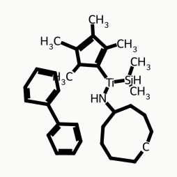 CC1=C(C)C(C)[C]([Ti]([NH]C2CCCCCCCC2)[SiH](C)C)=C1C.c1ccc(-c2ccccc2)cc1